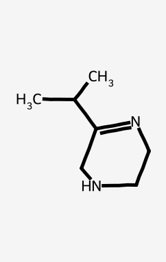 CC(C)C1=NCCNC1